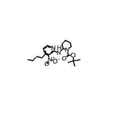 CCCCc1ccnc(NC2CCCCN2C(=O)OC(C)(C)C)c1[N+](=O)[O-]